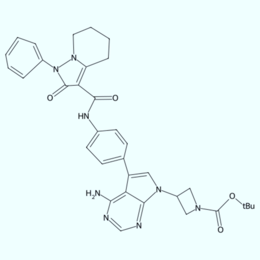 CC(C)(C)OC(=O)N1CC(n2cc(-c3ccc(NC(=O)c4c5n(n(-c6ccccc6)c4=O)CCCC5)cc3)c3c(N)ncnc32)C1